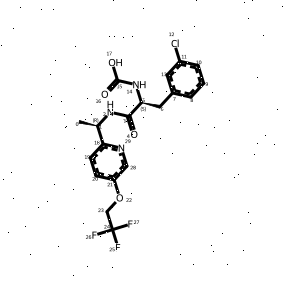 C[C@@H](NC(=O)[C@H](Cc1cccc(Cl)c1)NC(=O)O)c1ccc(OCC(F)(F)F)cn1